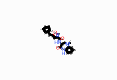 CN1C[C@@H](NC(=O)c2cc(Cc3ccccc3)on2)C(=O)Nc2ccccc21